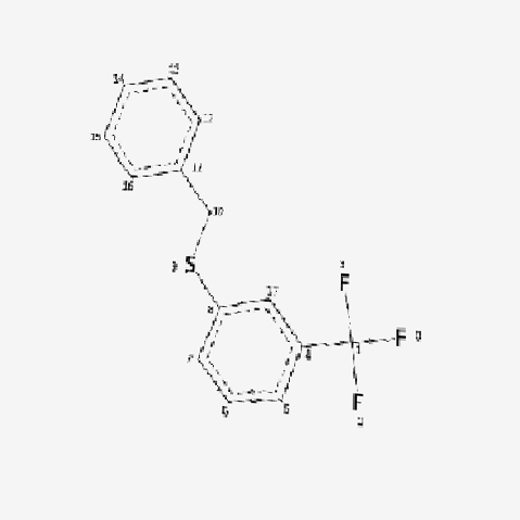 FC(F)(F)c1cccc(SCc2ccccc2)c1